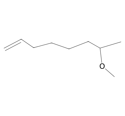 C=CCCCCC(C)OC